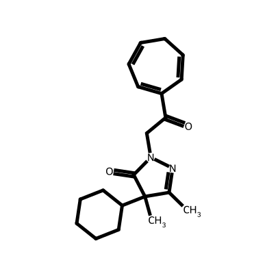 CC1=NN(CC(=O)C2=CC=CCC=C2)C(=O)C1(C)C1CCCCC1